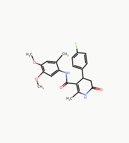 COc1cc(C)c(NC(=O)C2=C(C)NC(=O)CC2c2ccc(F)cc2)cc1OC